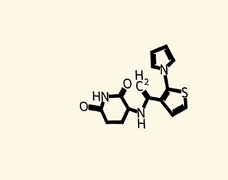 C=C(NC1CCC(=O)NC1=O)c1ccsc1-n1cccc1